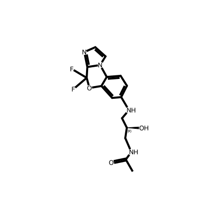 CC(=O)NC[C@H](O)CNc1ccc2c(c1)OC(F)(F)c1nccn1-2